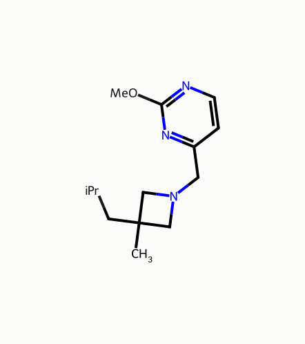 COc1nccc(CN2CC(C)(CC(C)C)C2)n1